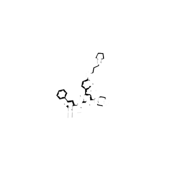 c1ccc(-c2cc(Nc3nc(N4CCOCC4)c4oc5nc(OCCCN6CCCC6)ccc5c4n3)[nH]n2)cc1